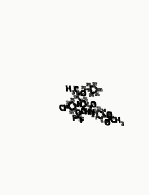 Cc1c(C(=O)Nc2ccc(S(C)(=O)=O)cc2)cc(C[C@H](C)OCc2ccccc2)n1-c1ccc(Cl)cc1OC(F)F